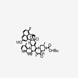 C#Cc1c(F)ccc2cc(O)cc(C3(Cl)N=c4c(c5c(c(=O)n4-c4c(C)ccnc4C(C)C)N(C)C(=O)[C@H]4CN(C(=O)OC(C)(C)C)[C@H](C)CN54)=CC3(Cl)Cl)c12